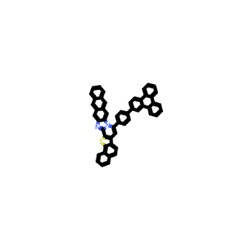 c1ccc2cc3cc4c(cc3cc2c1)nc1c2sc3c5ccccc5ccc3c2cc(-c2ccc(-c3ccc5c6ccccc6c6ccccc6c5c3)cc2)n41